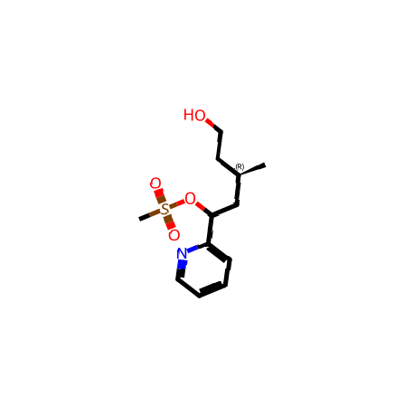 C[C@H](CCO)CC(OS(C)(=O)=O)c1ccccn1